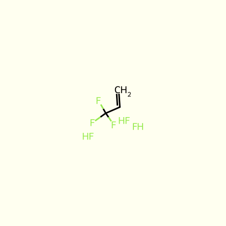 C=CC(F)(F)F.F.F.F